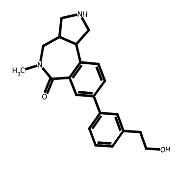 CN1CC2CNCC2c2ccc(-c3cccc(CCO)c3)cc2C1=O